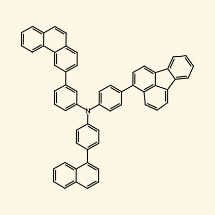 c1cc(-c2ccc3ccc4ccccc4c3c2)cc(N(c2ccc(-c3cccc4ccccc34)cc2)c2ccc(-c3ccc4c5c(cccc35)-c3ccccc3-4)cc2)c1